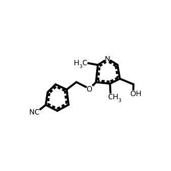 Cc1ncc(CO)c(C)c1OCc1ccc(C#N)cc1